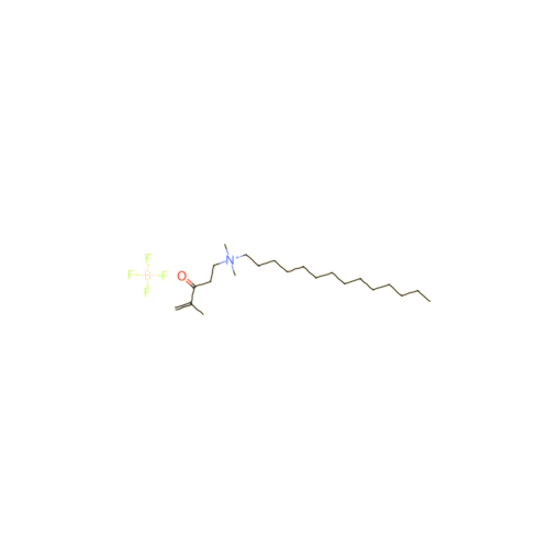 C=C(C)C(=O)CC[N+](C)(C)CCCCCCCCCCCCCC.F[B-](F)(F)F